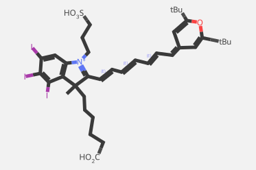 CC(C)(C)C1=CC(=C/C=C/C=C/C=C/C2=[N+](CCCS(=O)(=O)O)c3cc(I)c(I)c(I)c3C2(C)CCCCCC(=O)O)C=C(C(C)(C)C)O1